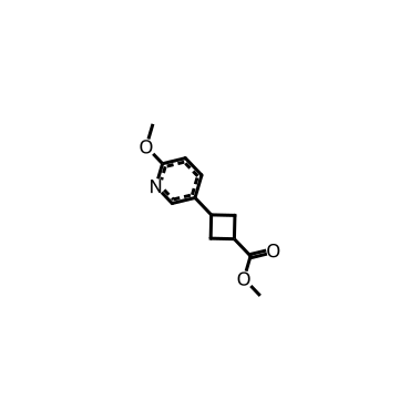 COC(=O)C1CC(c2ccc(OC)nc2)C1